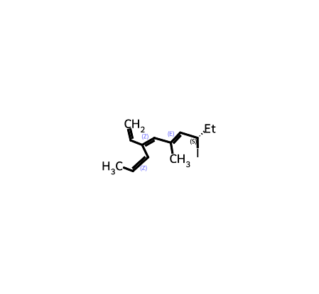 C=CC(/C=C\C)=C/C(C)=C/[C@@H](I)CC